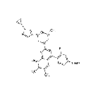 COc1ccc(-c2nc(N3C[C@@H](C)O[C@@H](c4cnn(C5CC5)c4)C3)nc3c(=O)n(C)c(C(F)(F)F)nc23)c(F)c1